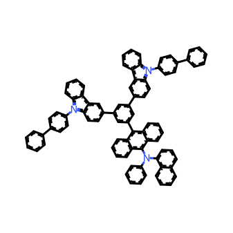 c1ccc(-c2ccc(-n3c4ccccc4c4cc(-c5cc(-c6ccc7c(c6)c6ccccc6n7-c6ccc(-c7ccccc7)cc6)cc(-c6c7ccccc7c(N(c7ccccc7)c7cccc8ccccc78)c7ccccc67)c5)ccc43)cc2)cc1